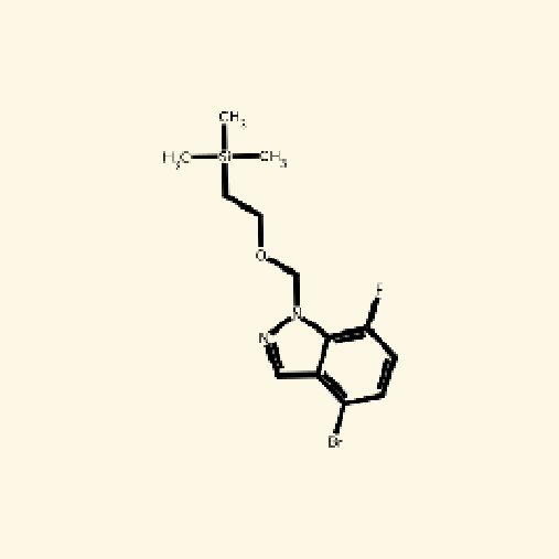 C[Si](C)(C)CCOCn1ncc2c(Br)ccc(F)c21